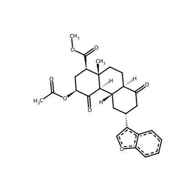 COC(=O)[C@@H]1C[C@H](OC(C)=O)C(=O)[C@@H]2[C@H]3C[C@@H](c4coc5ccccc45)CC(=O)[C@@H]3CC[C@]21C